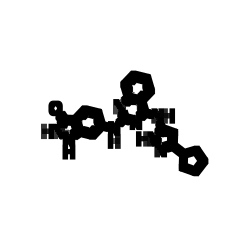 O=c1[nH][nH]c2cc(Nc3nc(Nc4cc(C5CCCC5)n[nH]4)c4ccccc4n3)ccc12